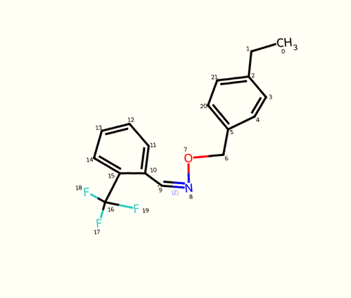 CCc1ccc(CO/N=[C]\c2ccccc2C(F)(F)F)cc1